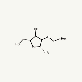 CCCCCCCOC1C(O)[C@@H](CO)O[C@H]1C